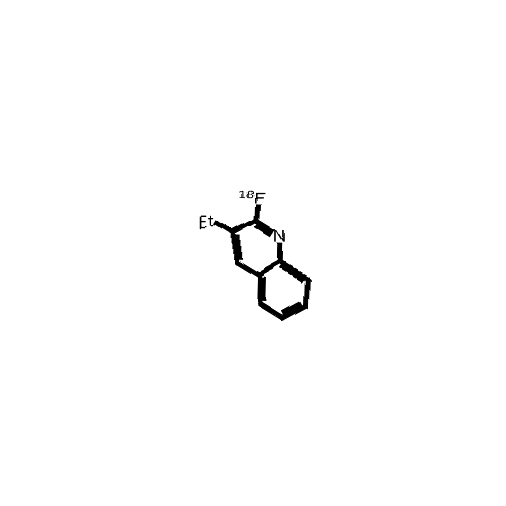 CCc1cc2ccccc2nc1[18F]